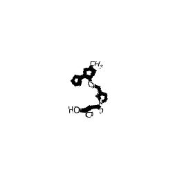 Cc1ccc(OCC2CCN(C(=O)CC(=O)O)C2)c(C2CCCC2)c1